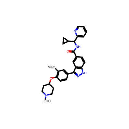 COc1cc(-c2n[nH]c3ccc(C(=O)NC(c4ccccn4)C4CC4)cc23)ccc1OC1CCN(C=O)CC1